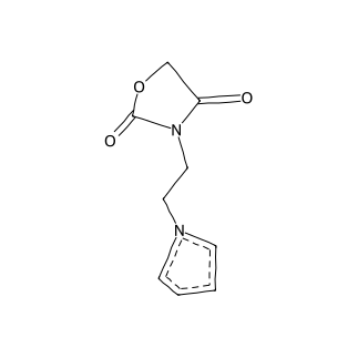 O=C1COC(=O)N1CCn1cccc1